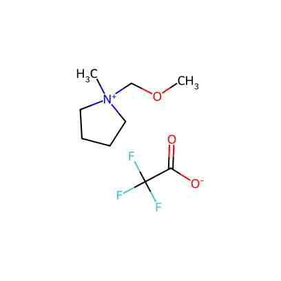 COC[N+]1(C)CCCC1.O=C([O-])C(F)(F)F